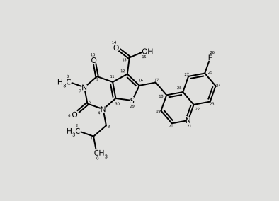 CC(C)Cn1c(=O)n(C)c(=O)c2c(C(=O)O)c(Cc3ccnc4ccc(F)cc34)sc21